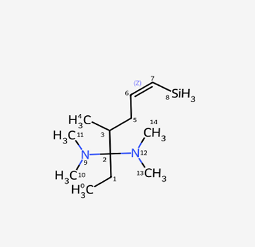 CCC(C(C)C/C=C\[SiH3])(N(C)C)N(C)C